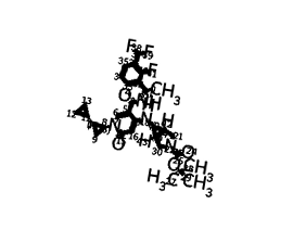 C[C@@H](NC(=O)c1cn([C@H]2C[C@@H]2C2CC2)c(=O)cc1N[C@H]1[C@@H]2CN(C(=O)OC(C)(C)C)C[C@@H]21)c1cccc(C(F)F)c1F